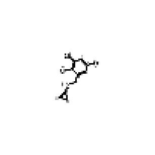 Clc1cc(Br)cc(CNC2CC2)c1Cl